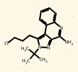 CC(C)(C)n1nc2c(N)nc3ccccc3c2c1CCCCl